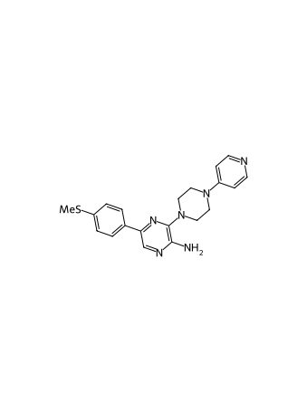 CSc1ccc(-c2cnc(N)c(N3CCN(c4ccncc4)CC3)n2)cc1